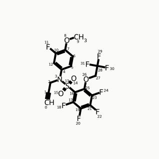 C#CCN(c1ccc(OC)c(F)c1)S(=O)(=O)c1c(F)c(F)c(F)c(F)c1OCC(F)(F)F